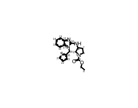 CCOC(=O)N1CCC(Nc2nc3ccccc3n2Cc2cccs2)C1